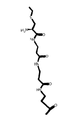 CCSC[C@H](N)C(=O)NCCC(=O)NCCC(=O)NCCC(C)=O